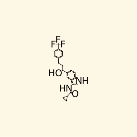 O=C(Nc1c[nH]c2ccc(C(O)CCc3ccc(C(F)(F)F)cc3)cc12)C1CC1